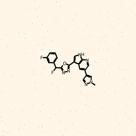 Cn1cc(-c2cnc3[nH]cc(-c4nnc(C(F)c5cccc(F)c5)o4)c3c2)cn1